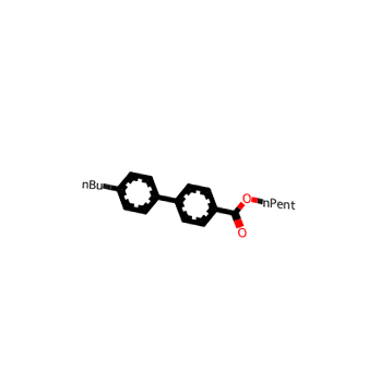 CCCCCOC(=O)c1ccc(-c2ccc(CCCC)cc2)cc1